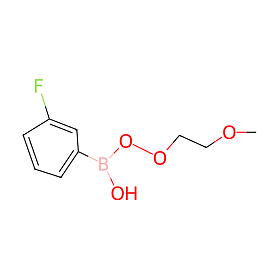 COCCOOB(O)c1cccc(F)c1